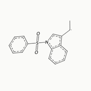 C[CH]c1cn(S(=O)(=O)c2ccccc2)c2ccccc12